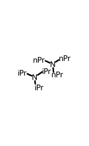 CC(C)N(C(C)C)C(C)C.CCCN(CCC)CCC